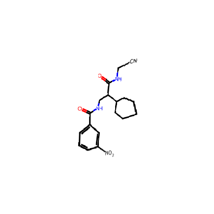 N#CCNC(=O)C(CNC(=O)c1cccc([N+](=O)[O-])c1)C1CCCCC1